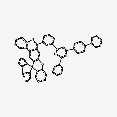 c1ccc(-c2ccc(-c3cc(-c4cccc(-c5nc6ccccc6c6cc7c(cc56)Oc5ccccc5C75c6ccccc6-c6ccccc65)c4)nc(-c4ccccc4)n3)cc2)cc1